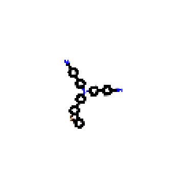 N#Cc1ccc(-c2ccc(N(c3ccc(-c4ccc(C#N)cc4)cc3)c3ccc(-c4ccc5sc6ccccc6c5c4)cc3)cc2)cc1